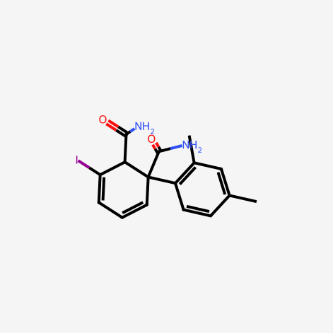 Cc1ccc(C2(C(N)=O)C=CC=C(I)C2C(N)=O)c(C)c1